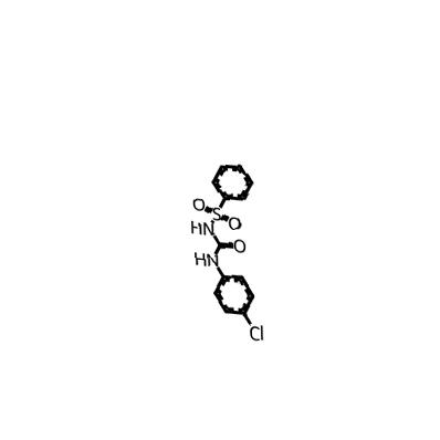 O=C(Nc1ccc(Cl)cc1)NS(=O)(=O)c1ccccc1